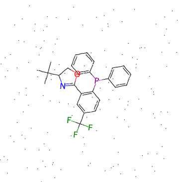 CC(C)(C)C1COC(c2cc(C(F)(F)F)ccc2P(c2ccccc2)c2ccccc2)=N1